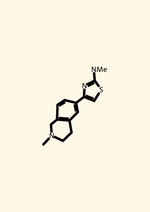 CNc1nc(-c2ccc3c(c2)CCN(C)C3)cs1